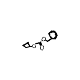 O=C(COC1CCC1)OCc1ccccc1